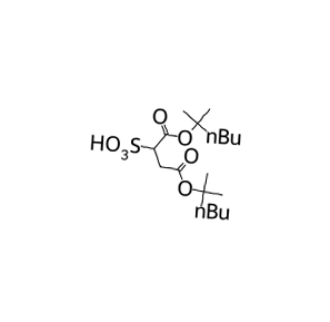 CCCCC(C)(C)OC(=O)CC(C(=O)OC(C)(C)CCCC)S(=O)(=O)O